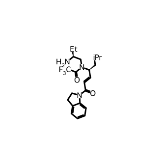 CC[C@H](N)CN(C(=O)C(F)(F)F)[C@H](/C=C/C(=O)N1CCc2ccccc21)CC(C)C